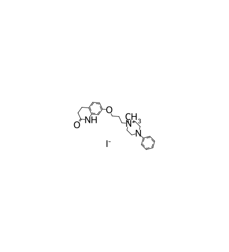 C[N+]1(CCCOc2ccc3c(c2)NC(=O)CC3)CCN(c2ccccc2)CC1.[I-]